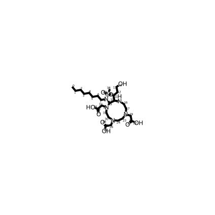 CCCCCCCCN(C1C(CCCO)NCCN(CC(=O)O)CCN(CC(=O)O)CCN1CC(=O)O)S(C)(=O)=O